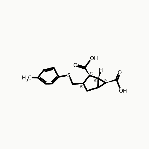 Cc1ccc(SC[C@@H]2CC3[C@H]([C@@H]2C(=O)O)[C@H]3C(=O)O)cc1